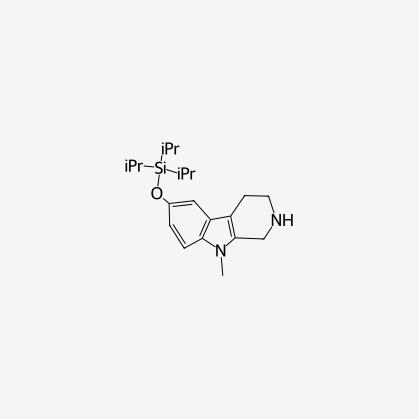 CC(C)[Si](Oc1ccc2c(c1)c1c(n2C)CNCC1)(C(C)C)C(C)C